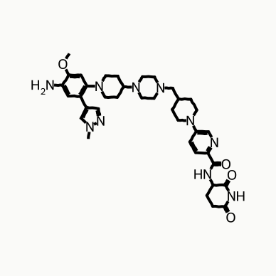 COc1cc(N2CCC(N3CCN(CC4CCN(c5ccc(C(=O)NC6CCC(=O)NC6=O)nc5)CC4)CC3)CC2)c(-c2cnn(C)c2)cc1N